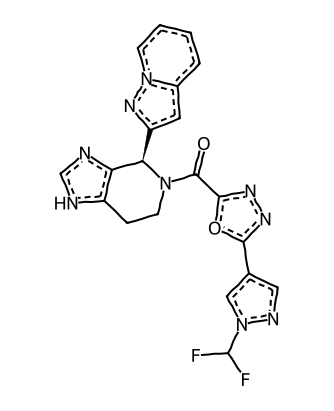 O=C(c1nnc(-c2cnn(C(F)F)c2)o1)N1CCc2[nH]cnc2[C@H]1c1cc2ccccn2n1